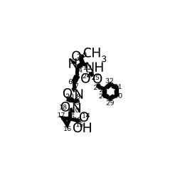 Cc1onc(C#Cc2nc3nc(C4(C(=O)O)CC4)oc3o2)c1NC(=O)OCc1ccccc1